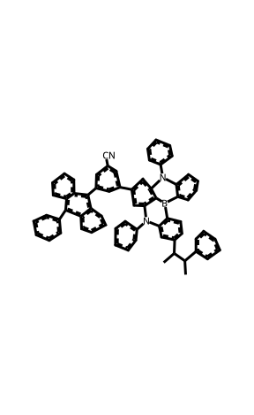 CC(c1ccccc1)C(C)c1ccc2c(c1)N(c1ccccc1)c1cc(-c3cc(C#N)cc(-c4c5ccccc5c(-c5ccccc5)c5ccccc45)c3)cc3c1B2c1ccccc1N3c1ccccc1